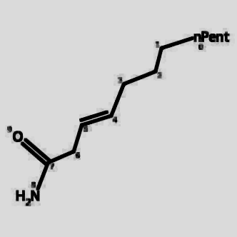 CCCCCCCC/C=C/CC(N)=O